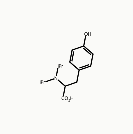 CC(C)N(C(C)C)C(Cc1ccc(O)cc1)C(=O)O